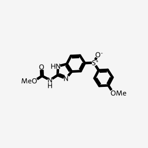 COC(=O)Nc1nc2cc([S+]([O-])c3ccc(OC)cc3)ccc2[nH]1